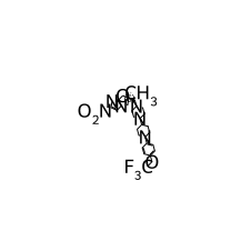 C[C@]1(CN2CCN(C3CCN(c4ccc(OC(F)(F)F)cc4)CC3)CC2)Cn2cc([N+](=O)[O-])nc2O1